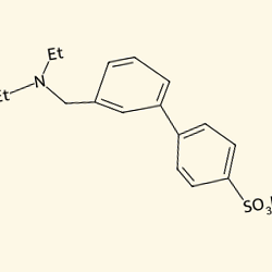 CCN(CC)Cc1cccc(-c2ccc(S(=O)(=O)O)cc2)c1